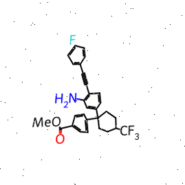 COC(=O)c1ccc(C2(c3ccc(C#Cc4ccc(F)cc4)c(N)c3)CCC(C(F)(F)F)CC2)cc1